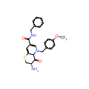 N[C@H]1CSC2=CC(C(=O)NCc3ccccc3)=CN(Cc3ccc(OC(F)(F)F)cc3)C2C1=O